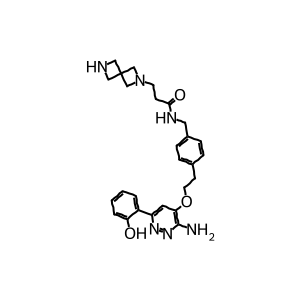 Nc1nnc(-c2ccccc2O)cc1OCCc1ccc(CNC(=O)CCN2CC3(CNC3)C2)cc1